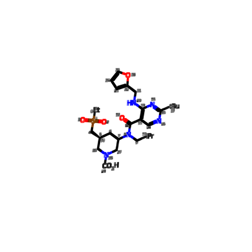 CCS(=O)(=O)C[C@H]1CC(N(CC(C)C)C(=O)c2cnc(C(C)(C)C)nc2NCc2ccco2)CN(C(=O)O)C1